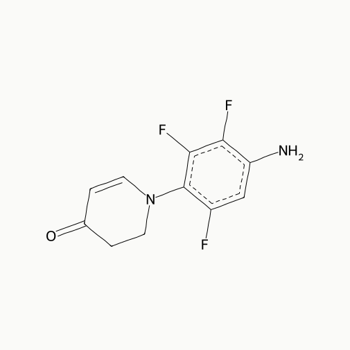 Nc1cc(F)c(N2C=CC(=O)CC2)c(F)c1F